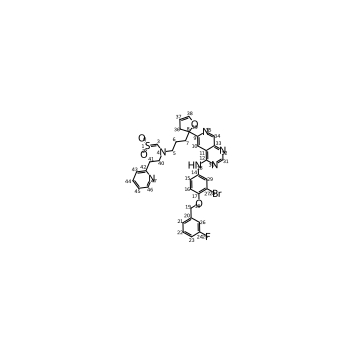 O=S(=O)=CN(CCCC1(c2cc3c(Nc4ccc(OCc5cccc(F)c5)c(Br)c4)ncnc3cn2)CC=CO1)CCc1ccccn1